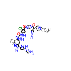 C[C@H](N)CNc1ccc(-c2[nH]nc(C(F)(F)F)c2Cc2cnc(C(=O)Nc3ccc(C(=O)N4CCN(C(=O)C(C5CCN(CC(=O)O)CC5)C5CNC5)CC4)c(Cl)c3)[nH]2)nc1